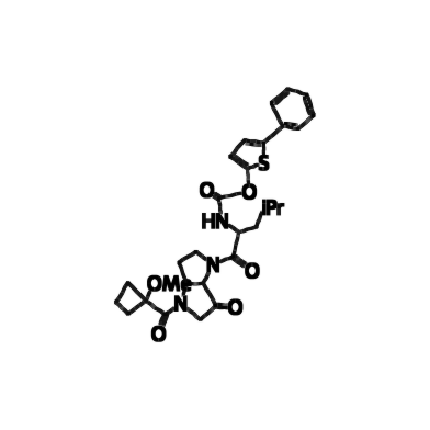 COC1(C(=O)N2CC(=O)C3C2CCN3C(=O)C(CC(C)C)NC(=O)Oc2ccc(-c3ccccc3)s2)CCC1